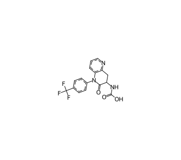 O=C(O)NC1Cc2ncccc2N(c2ccc(C(F)(F)F)cc2)C1=O